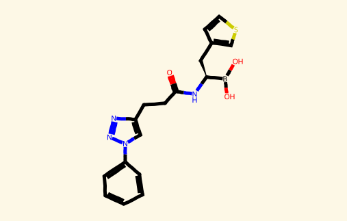 O=C(CCc1cn(-c2ccccc2)nn1)N[C@@H](Cc1ccsc1)B(O)O